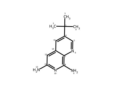 CC(C)(C)c1cnc2c(N)nc(N)cc2c1